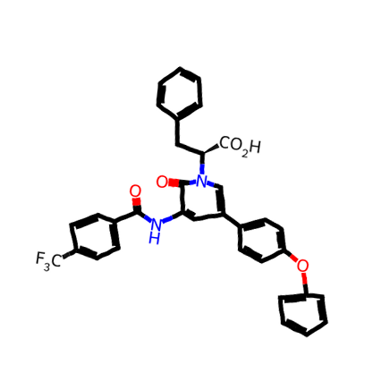 O=C(Nc1cc(-c2ccc(Oc3ccccc3)cc2)cn([C@@H](Cc2ccccc2)C(=O)O)c1=O)c1ccc(C(F)(F)F)cc1